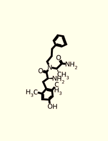 Cc1cc(O)cc(C)c1C[C@H](N)C(=O)N(CCCc1ccccc1)[C@@H](C)C(N)=O